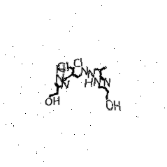 CC(CN=NCC(C1=NC(CCO)CN1)C(Cl)Cl)C1=NC(CCO)CN1